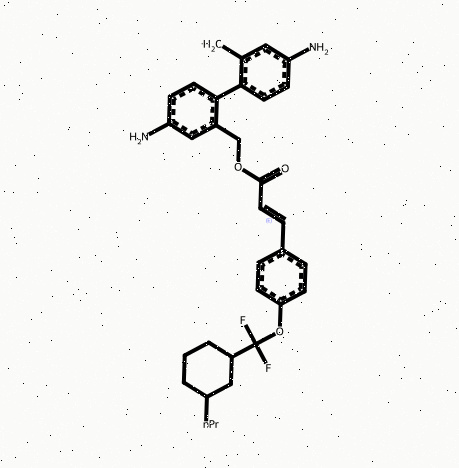 [CH2]c1cc(N)ccc1-c1ccc(N)cc1COC(=O)/C=C/c1ccc(OC(F)(F)C2CCCC(CCC)C2)cc1